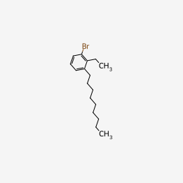 CCCCCCCCCc1cccc(Br)c1CC